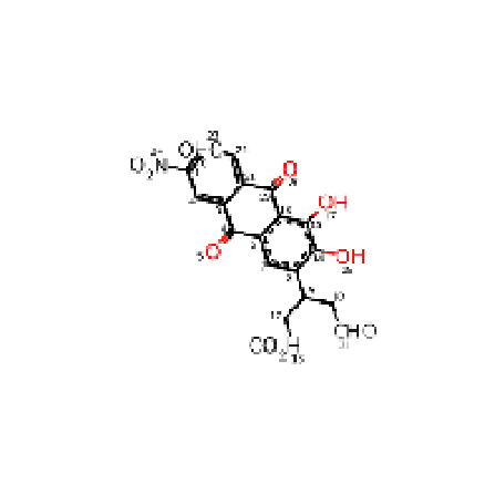 C=C(/C=C1/C(=O)c2cc(C(CC=O)CC(=O)O)c(O)c(O)c2C(=O)/C1=C/C=O)[N+](=O)[O-]